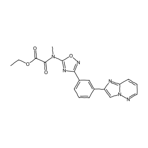 CCOC(=O)C(=O)N(C)c1nc(-c2cccc(-c3cn4ncccc4n3)c2)no1